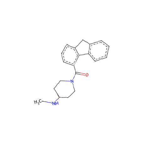 CNC1CCN(C(=O)c2cccc3c2-c2ccccc2C3)CC1